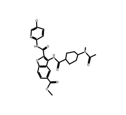 COC(=O)c1ccc2oc(C(=O)Nc3ccc(Cl)cn3)c(NC(=O)C3CCC(N(C)C(C)=O)CC3)c2c1